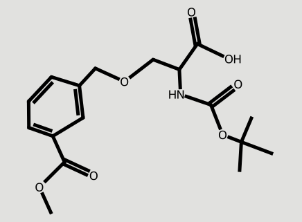 COC(=O)c1cccc(COCC(NC(=O)OC(C)(C)C)C(=O)O)c1